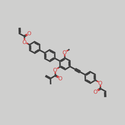 C=CC(=O)Oc1ccc(C#Cc2cc(OC)c(-c3ccc(-c4ccc(OC(=O)C=C)cc4)cc3)c(OC(=O)C(=C)C)c2)cc1